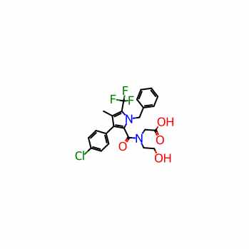 Cc1c(-c2ccc(Cl)cc2)c(C(=O)N(CCO)CC(=O)O)n(Cc2ccccc2)c1C(F)(F)F